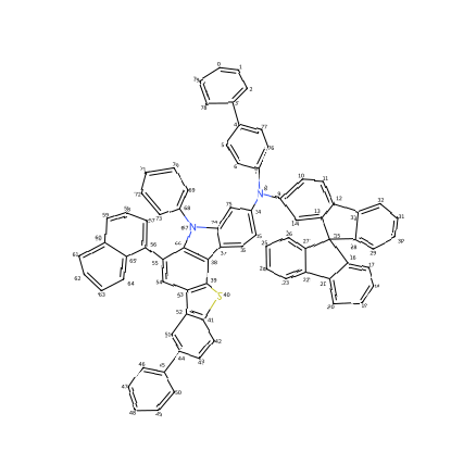 c1ccc(-c2ccc(N(c3ccc4c(c3)C3(c5ccccc5-c5ccccc53)c3ccccc3-4)c3ccc4c5c6sc7ccc(-c8ccccc8)cc7c6cc(-c6cccc7ccccc67)c5n(-c5ccccc5)c4c3)cc2)cc1